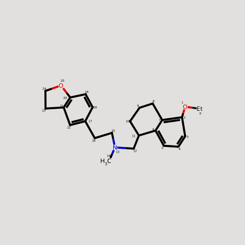 CCOc1cccc2c1CCCC2CN(C)CCc1ccc2c(c1)CCO2